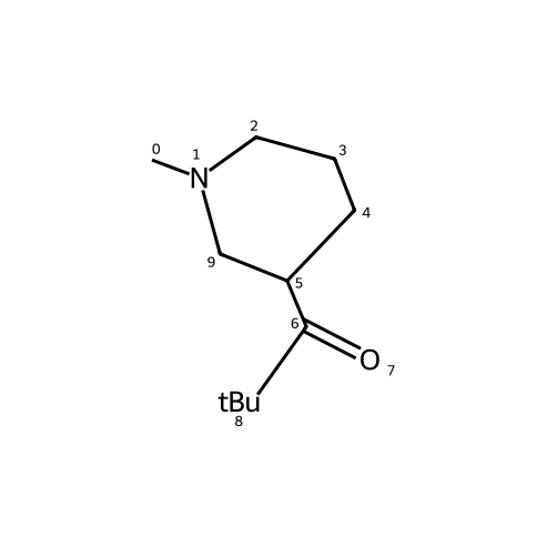 CN1CCCC(C(=O)C(C)(C)C)C1